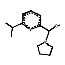 CC(C)c1cccc(C(O)N2CCCC2)n1